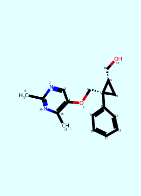 Cc1ncc(OC[C@@]2(c3ccccc3)C[C@H]2CO)c(C)n1